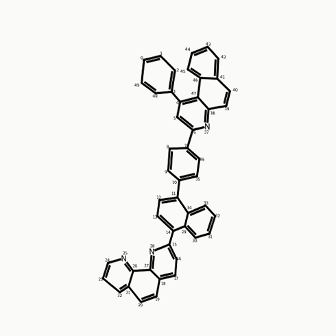 c1ccc(-c2cc(-c3ccc(-c4ccc(-c5ccc6ccc7cccnc7c6n5)c5ccccc45)cc3)nc3ccc4ccccc4c23)cc1